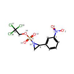 O=[N+]([O-])c1cccc(C2CN2S(=O)(=O)OCC(Cl)(Cl)Cl)c1